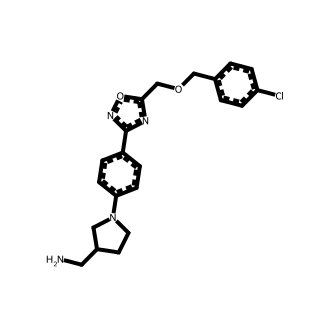 NCC1CCN(c2ccc(-c3noc(COCc4ccc(Cl)cc4)n3)cc2)C1